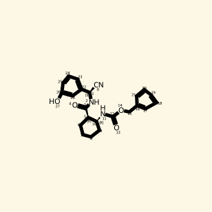 N#C[C@@H](NC(=O)[C@@H]1CCCC[C@H]1NC(=O)OCc1ccccc1)c1cccc(O)c1